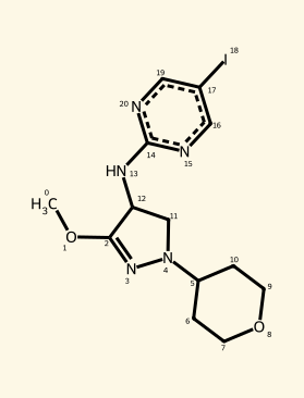 COC1=NN(C2CCOCC2)CC1Nc1ncc(I)cn1